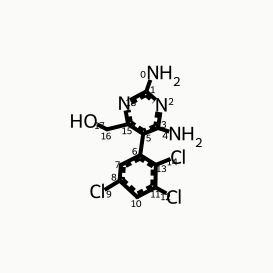 Nc1nc(N)c(-c2cc(Cl)cc(Cl)c2Cl)c(CO)n1